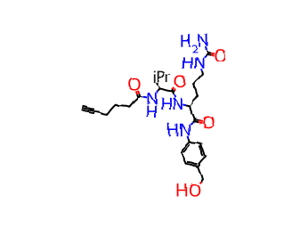 C#CCCCC(=O)N[C@H](C(=O)N[C@@H](CCCNC(N)=O)C(=O)Nc1ccc(CO)cc1)C(C)C